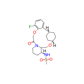 CS(=O)(=O)N[C@H]1CCCN2C(=O)COc3c(F)cccc3[C@H]3CC[C@H](CC3)OC[C@@H]12